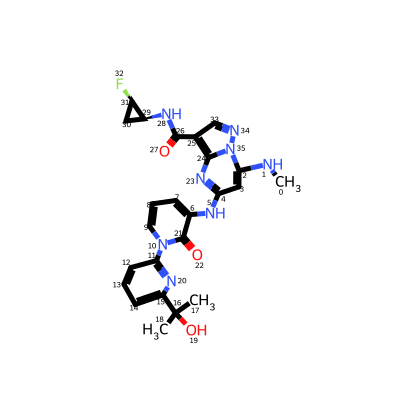 CNc1cc(Nc2cccn(-c3cccc(C(C)(C)O)n3)c2=O)nc2c(C(=O)N[C@H]3C[C@H]3F)cnn12